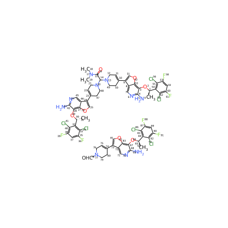 C[C@@H](Oc1c(N)ncc2c(C3=CCN(C(C(=O)N(C)C)N4CC=C(c5coc6c(O[C@H](C)c7c(Cl)c(F)cc(F)c7Cl)c(N)ncc56)CC4)CC3)coc12)c1c(Cl)c(F)cc(F)c1Cl.C[C@@H](Oc1c(N)ncc2c(C3=CCN(C=O)CC3)coc12)c1c(Cl)c(F)cc(F)c1Cl